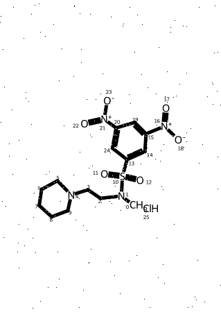 CN(CCN1CCCCC1)S(=O)(=O)c1cc([N+](=O)[O-])cc([N+](=O)[O-])c1.Cl